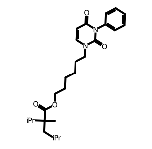 CC(C)CC(C)(C(=O)OCCCCCCn1ccc(=O)n(-c2ccccc2)c1=O)C(C)C